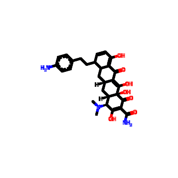 CN(C)[C@@H]1C(O)=C(C(N)=O)C(=O)[C@@]2(O)C(O)=C3C(=O)C4=C(O)C=CC(CCc5ccc(N)cc5)C4C[C@H]3C[C@@H]12